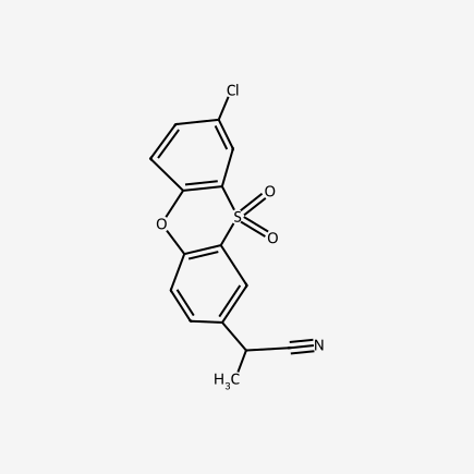 CC(C#N)c1ccc2c(c1)S(=O)(=O)c1cc(Cl)ccc1O2